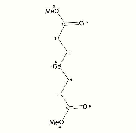 COC(=O)C[CH2][Ge][CH2]CC(=O)OC